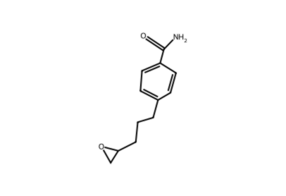 NC(=O)c1ccc(CCCC2CO2)cc1